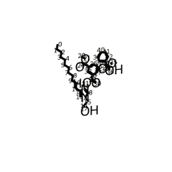 CCCCCCCCCCCCc1cn(CCO)cn1.COC(=O)c1cccc(C(=O)O)c1.O=S(=O)(O)c1ccccc1